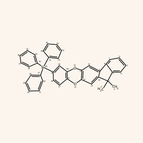 CC1(C)c2ccccc2-c2cc3c(cc21)Oc1ccc([Si](c2ccccc2)(c2ccccc2)c2ccccc2)cc1O3